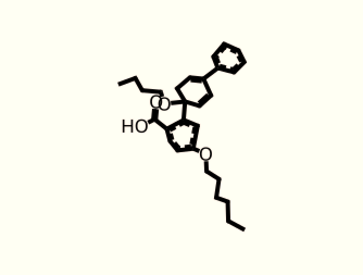 CCCCCCOc1ccc(C(=O)O)c(C2(OCCCC)C=CC(c3ccccc3)=CC2)c1